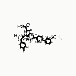 COc1cccc(-c2ccc(C(=O)N[C@@H](CCC(=O)O)C(=O)NC(C)(C)Cc3ccc(F)cc3)cn2)c1